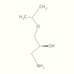 CC(C)OC[C@@H](O)CN